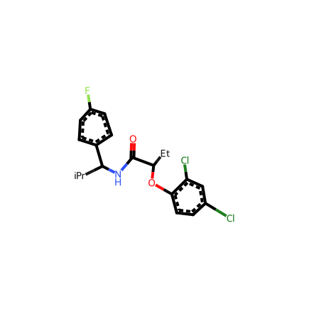 CCC(Oc1ccc(Cl)cc1Cl)C(=O)NC(c1ccc(F)cc1)C(C)C